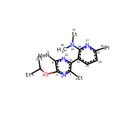 CCc1nc(OC(CC)CC)c(NC)nc1-c1ccc(C(C)C)nc1N(C)CC